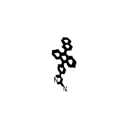 N#Cc1cncc(-c2ccc(-c3c4ccccc4c(-c4ccc5ccccc5c4)c4ccccc34)cc2)c1